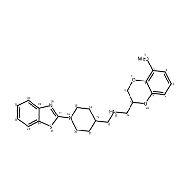 COc1cccc2c1OCC(CNCC1CCN(c3nc4ccccc4s3)CC1)O2